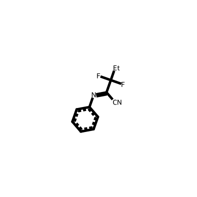 CCC(F)(F)/C(C#N)=N/c1ccccc1